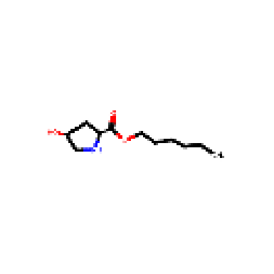 CCCCCCOC(=O)[C@@H]1C[C@H](O)CN1